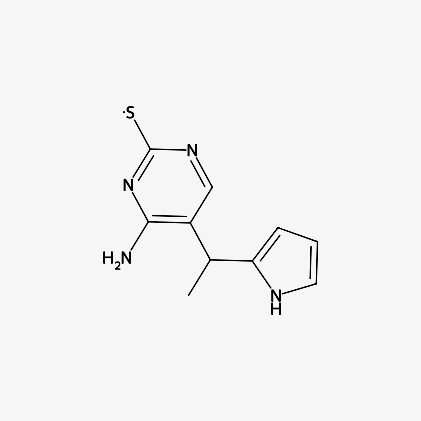 CC(c1ccc[nH]1)c1cnc([S])nc1N